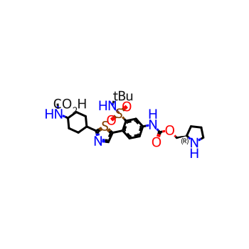 CC(C)(C)NS(=O)(=O)c1cc(NC(=O)OC[C@H]2CCCN2)ccc1-c1cnc(C2CCC(NC(=O)O)CC2)s1